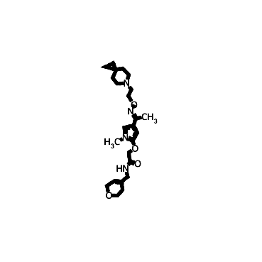 C/C(=N\OCCN1CCC2(CC1)CC2)c1cc(OCC(=O)NCC2=CCOCC2)n(C)c1